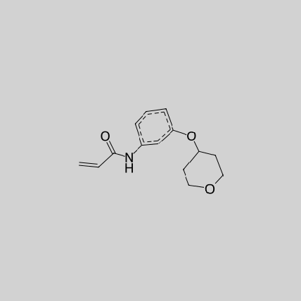 C=CC(=O)Nc1cccc(OC2CCOCC2)c1